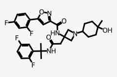 CC1(O)CCC(N2CC(CC(=O)NC(C)(C)c3cc(F)ccc3F)(NC(=O)c3cc(-c4ccc(F)cc4F)on3)C2)CC1